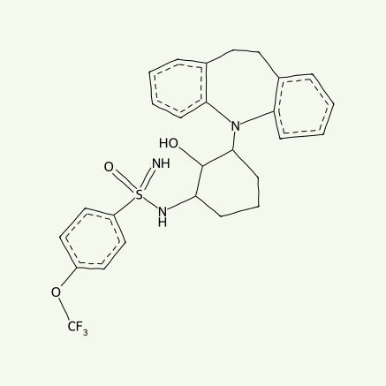 N=S(=O)(NC1CCCC(N2c3ccccc3CCc3ccccc32)C1O)c1ccc(OC(F)(F)F)cc1